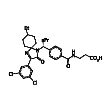 CCC[C@H](c1ccc(C(=O)NCCC(=O)O)cc1)N1C(=O)C(c2cc(Cl)cc(Cl)c2)=NC12CCC(CC)CC2